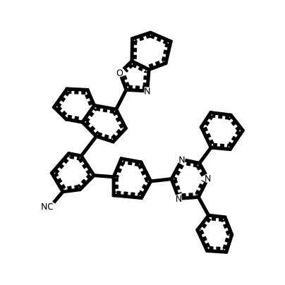 N#Cc1ccc(-c2ccc(-c3nc4ccccc4o3)c3ccccc23)c(-c2ccc(-c3nc(-c4ccccc4)nc(-c4ccccc4)n3)cc2)c1